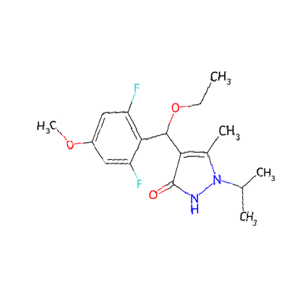 CCOC(c1c(F)cc(OC)cc1F)c1c(C)n(C(C)C)[nH]c1=O